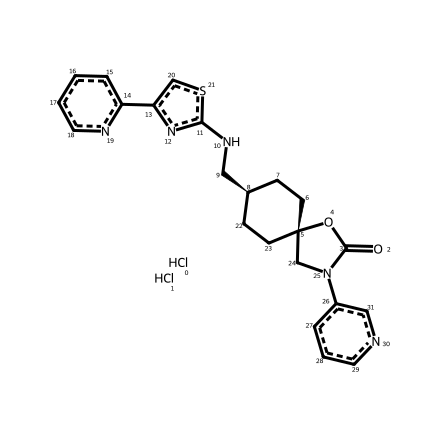 Cl.Cl.O=C1O[C@]2(CC[C@H](CNc3nc(-c4ccccn4)cs3)CC2)CN1c1cccnc1